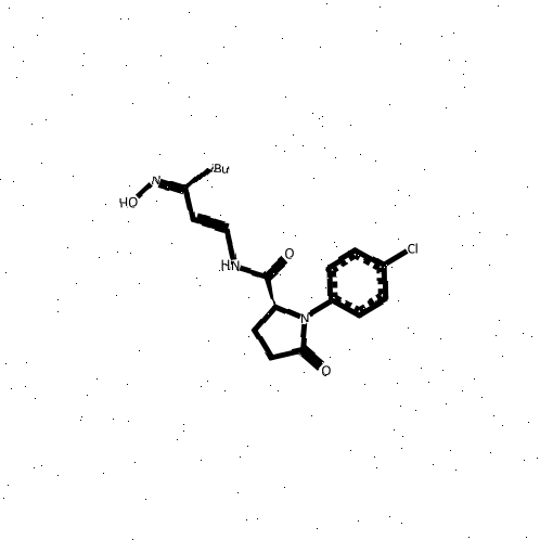 CCC(C)C(/C=C/NC(=O)[C@@H]1CCC(=O)N1c1ccc(Cl)cc1)=N/O